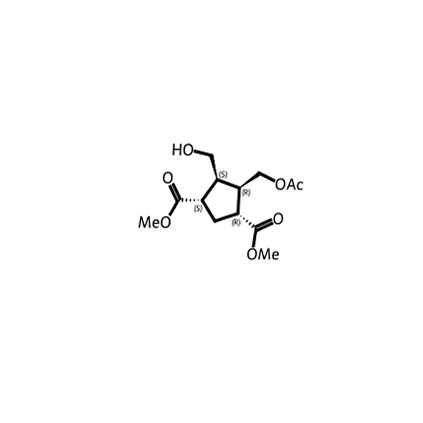 COC(=O)[C@H]1C[C@@H](C(=O)OC)[C@H](COC(C)=O)[C@@H]1CO